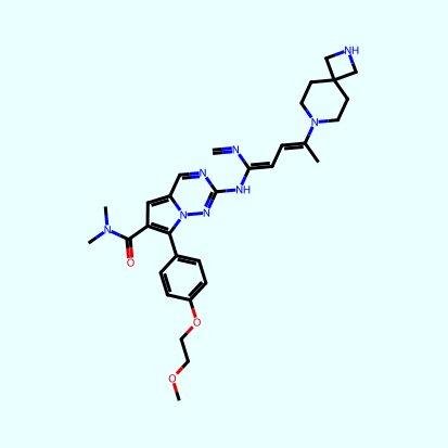 C=N/C(=C\C=C(/C)N1CCC2(CC1)CNC2)Nc1ncc2cc(C(=O)N(C)C)c(-c3ccc(OCCOC)cc3)n2n1